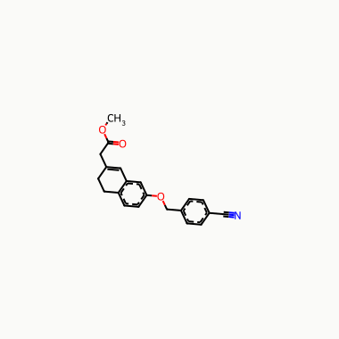 COC(=O)CC1=Cc2cc(OCc3ccc(C#N)cc3)ccc2CC1